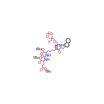 CC(C)(C)OC(=O)CCC(NC(=O)NC(CCCCNC(=O)C(Cc1ccc2ccccc2c1)NC(=O)COCC1(CI)COC(C)(C)OC1)C(=O)OC(C)(C)C)C(=O)OC(C)(C)C